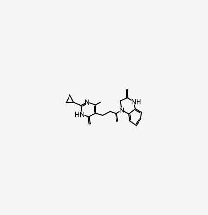 C=C1CN(C(=C)CCC2=C(C)N=C(C3CC3)NC2=C)c2ccccc2N1